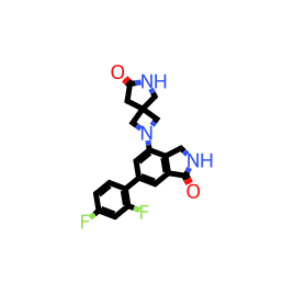 O=C1CC2(CN1)CN(c1cc(-c3ccc(F)cc3F)cc3c1CNC3=O)C2